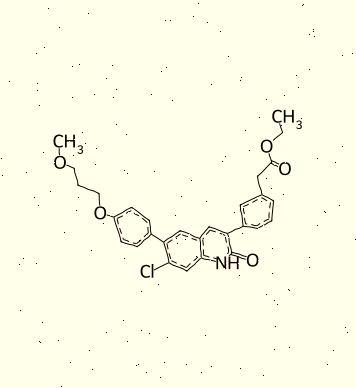 CCOC(=O)Cc1cccc(-c2cc3cc(-c4ccc(OCCCOC)cc4)c(Cl)cc3[nH]c2=O)c1